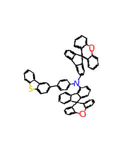 c1ccc2c(c1)Oc1ccccc1C21c2ccccc2-c2cc(N(c3ccc(-c4ccc5sc6ccccc6c5c4)cc3)c3cccc4c3-c3ccccc3C43c4ccccc4Oc4ccccc43)ccc21